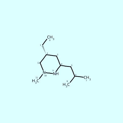 CC[C@@H]1CC(CC(C)C)NN(C)C1